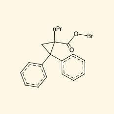 CCCC1(C(=O)OBr)CC1(c1ccccc1)c1ccccc1